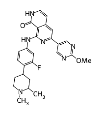 COc1ncc(-c2cc3cc[nH]c(=O)c3c(Nc3ccc(C4CCN(C)C(C)C4)c(F)c3)n2)cn1